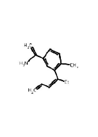 C=C/C=C(/CC)c1cc(C(=C)N)ccc1C